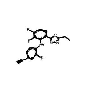 C#Cc1ccc(Nc2c(-c3nnc(CC)o3)ccc(F)c2F)c(F)c1